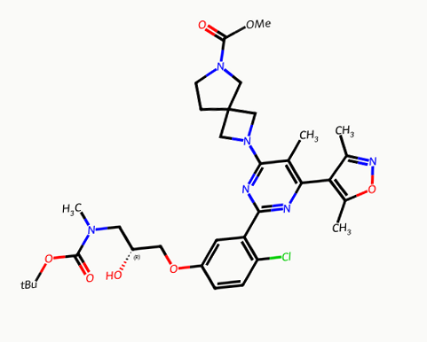 COC(=O)N1CCC2(C1)CN(c1nc(-c3cc(OC[C@H](O)CN(C)C(=O)OC(C)(C)C)ccc3Cl)nc(-c3c(C)noc3C)c1C)C2